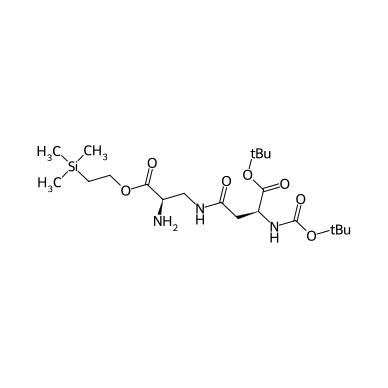 CC(C)(C)OC(=O)N[C@@H](CC(=O)NC[C@@H](N)C(=O)OCC[Si](C)(C)C)C(=O)OC(C)(C)C